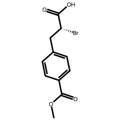 COC(=O)c1ccc(C[C@@H](Br)C(=O)O)cc1